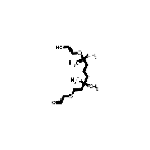 CC(C)(CCCC(C)(C)OCCO)CCSCC=O